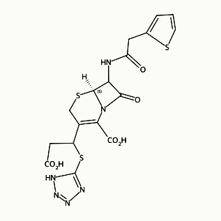 O=C(O)CC(Sc1nnn[nH]1)C1=C(C(=O)O)N2C(=O)C(NC(=O)Cc3cccs3)[C@@H]2SC1